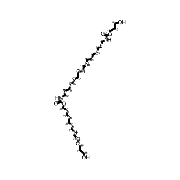 O=C(NCSCSCSC/N=C/OOCSCSCSCNC(=O)OCSCSCSC/N=C/OOCCCO)OCCCO